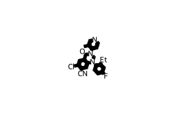 CCc1cc(F)ccc1N1CN(c2ccncc2C)C(=O)c2cc(Cl)c(C#N)cc21